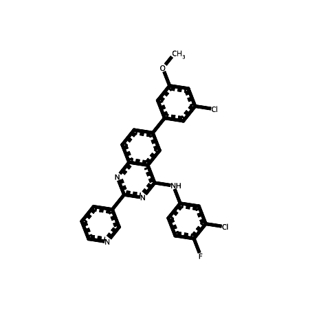 COc1cc(Cl)cc(-c2ccc3nc(-c4cccnc4)nc(Nc4ccc(F)c(Cl)c4)c3c2)c1